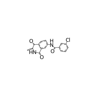 C=C1NC(=O)c2cc(NC(=O)c3cccc(Cl)c3)ccc2C1=O